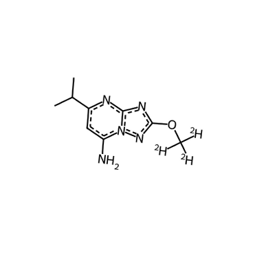 [2H]C([2H])([2H])Oc1nc2nc(C(C)C)cc(N)n2n1